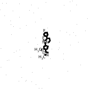 COc1cc(-c2nnc3n2CCCC3c2ccc(F)cc2F)ccc1-c1cnc(C)o1